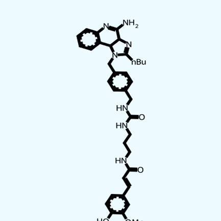 CCCCC1=NC2C(N)=Nc3ccccc3C2N1Cc1ccc(CNC(=O)NCCCNC(=O)/C=C/c2ccc(O)c(OC)c2)cc1